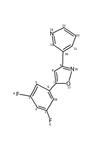 Fc1cc(F)cc(-c2cc(-c3cccnc3)no2)c1